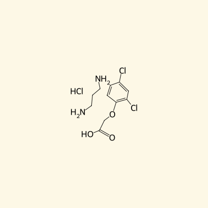 Cl.NCCCN.O=C(O)COc1ccc(Cl)cc1Cl